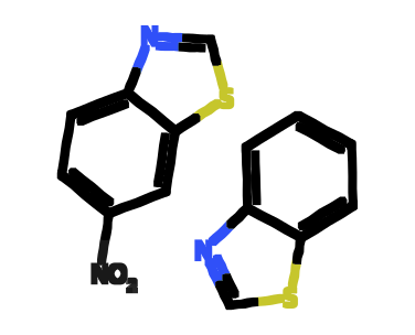 O=[N+]([O-])c1ccc2ncsc2c1.c1ccc2scnc2c1